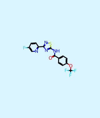 O=C(Nc1nc(-c2ccc(F)cn2)ns1)c1ccc(OC(F)(F)F)cc1